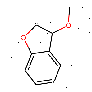 COC1[C]Oc2ccccc21